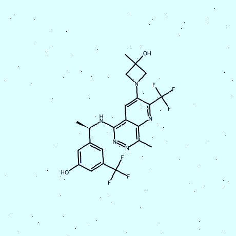 Cc1nnc(N[C@H](C)c2cc(O)cc(C(F)(F)F)c2)c2cc(N3CC(C)(O)C3)c(C(F)(F)F)nc12